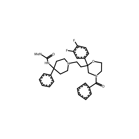 CNC(=O)NC1(c2ccccc2)CCN(CCC2(c3ccc(F)c(F)c3)CN(C(=O)c3ccccc3)CCO2)CC1